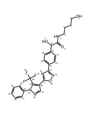 O=C(NCCCCO)C(O)c1ccc(-c2noc(-c3cnn(-c4ccccc4)c3C(F)(F)F)n2)cc1